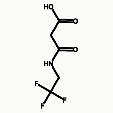 O=C(O)CC(=O)NCC(F)(F)F